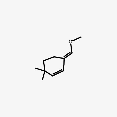 CO/C=C1/C=CC(C)(C)CC1